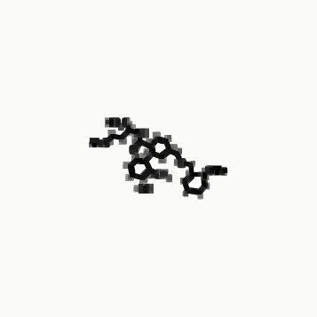 COc1ccccc1COCc1ccc(C(=O)N[C@@H](CCSC)C(=O)O)c(-c2ccccc2C)c1.[LiH]